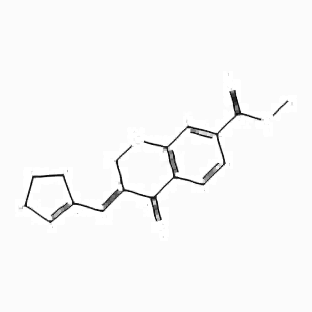 COC(=O)c1ccc2c(c1)OCC(=CC1=CCCC1)C2=O